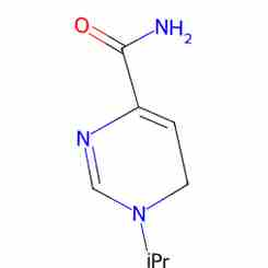 CC(C)N1C=NC(C(N)=O)=CC1